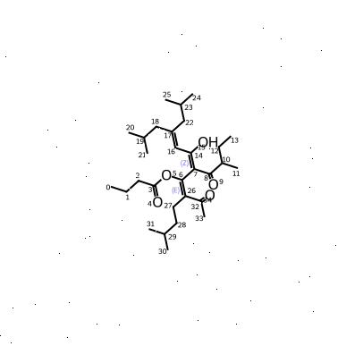 CCCC(=O)OC(/C(C(=O)C(C)CC)=C(/O)C=C(CC(C)C)CC(C)C)=C(\CCC(C)C)C(C)=O